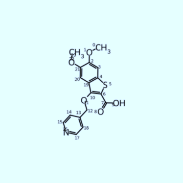 COc1cc2sc(C(=O)O)c(OCc3ccncc3)c2cc1OC